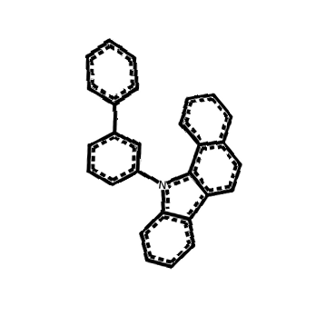 c1ccc(-c2cccc(-n3c4ccccc4c4ccc5ccccc5c43)c2)cc1